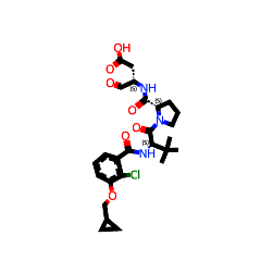 CC(C)(C)[C@H](NC(=O)c1cccc(OCC2CC2)c1Cl)C(=O)N1CCC[C@H]1C(=O)N[C@H](C=O)CC(=O)O